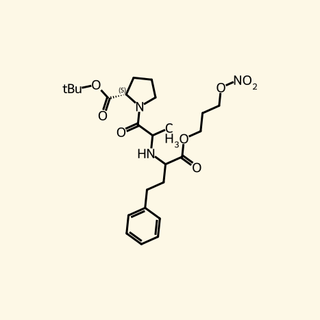 CC(NC(CCc1ccccc1)C(=O)OCCCO[N+](=O)[O-])C(=O)N1CCC[C@H]1C(=O)OC(C)(C)C